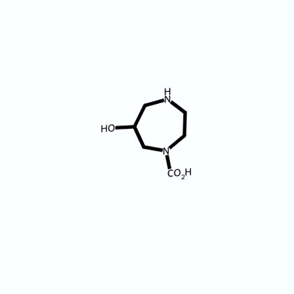 O=C(O)N1CCNCC(O)C1